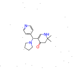 CC1(C)CC(=O)C(C(c2ccncc2)N2CCCC2)=CN1